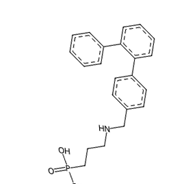 O=P(O)(O)CCCNCc1ccc(-c2ccccc2-c2ccccc2)cc1